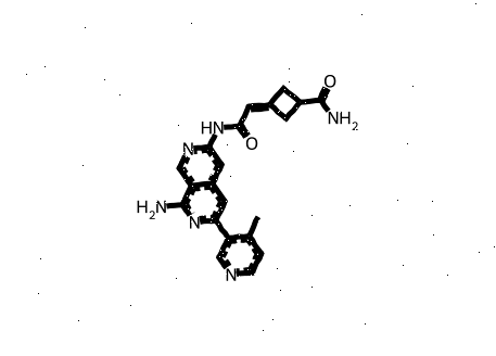 Cc1ccncc1-c1cc2cc(NC(=O)C=C3CC(C(N)=O)C3)ncc2c(N)n1